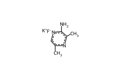 Cc1cnc(N)c(C)n1.[F-].[K+]